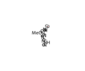 COC(=O)c1c(-c2cnn(CC34CC5CC(CC(C5)C3)C4)c2C)cnc2c1ccn2-c1cnc(Nc2ccccn2)c(C)c1